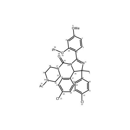 COc1ccc(C2=NC(C)(c3ccc(Cl)cc3)C(c3ccc(Cl)cc3)N2C(=O)N2CCN(C(C)=O)CC2)c(OC(C)C)c1